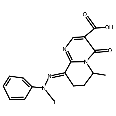 CC1CCC(=NN(I)c2ccccc2)c2ncc(C(=O)O)c(=O)n21